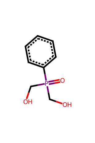 O=P(CO)(CO)c1ccccc1